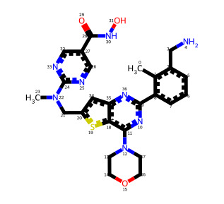 Cc1c(CN)cccc1-c1nc(N2CCOCC2)c2sc(CN(C)c3ncc(C(=O)NO)cn3)cc2n1